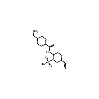 NCC1CC=C(C(=O)NC2=C(S(=O)(=O)O)CC(C=O)CC2)CC1